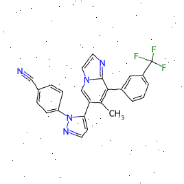 Cc1c(-c2ccnn2-c2ccc(C#N)cc2)cn2ccnc2c1-c1cccc(C(F)(F)F)c1